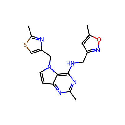 Cc1nc(NCc2cc(C)on2)c2c(ccn2Cc2csc(C)n2)n1